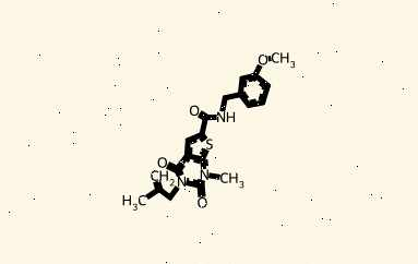 C=C(C)Cn1c(=O)c2cc(C(=O)NCc3cccc(OC)c3)sc2n(C)c1=O